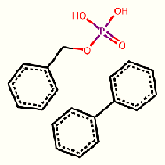 O=P(O)(O)OCc1ccccc1.c1ccc(-c2ccccc2)cc1